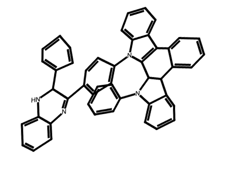 c1ccc(C2Nc3ccccc3N=C2c2ccc(-n3c4c(c5ccccc53)-c3ccccc3C3c5ccccc5N(c5ccccc5)C43)cc2)cc1